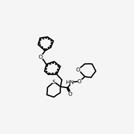 O=C(NOC1CCCCO1)C1(Cc2ccc(Oc3ccccc3)cc2)CCCCS1